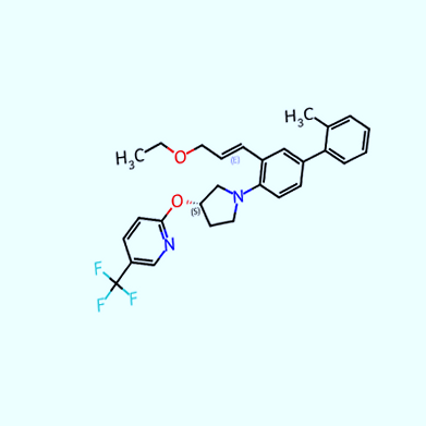 CCOC/C=C/c1cc(-c2ccccc2C)ccc1N1CC[C@H](Oc2ccc(C(F)(F)F)cn2)C1